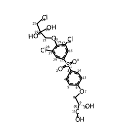 O=S(=O)(c1ccc(OC[C@H](O)CO)cc1)c1cc(Cl)c(OCC(O)(O)CCl)c(Cl)c1